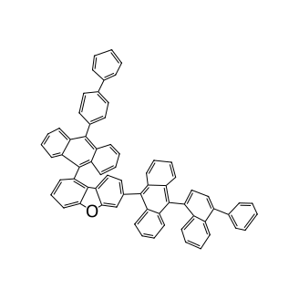 c1ccc(-c2ccc(-c3c4ccccc4c(-c4cccc5oc6cc(-c7c8ccccc8c(-c8ccc(-c9ccccc9)c9ccccc89)c8ccccc78)ccc6c45)c4ccccc34)cc2)cc1